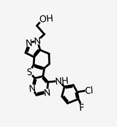 OCCn1ncc2c1CCc1c-2sc2ncnc(Nc3ccc(F)c(Cl)c3)c12